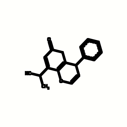 CC(C#N)C1=CC(=O)CC2=C1OC=CC2c1ccccc1